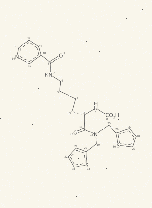 O=C(O)N[C@@H](CCCCNC(=O)c1cccnc1)C(=O)N(Cc1cccs1)Cc1cccs1